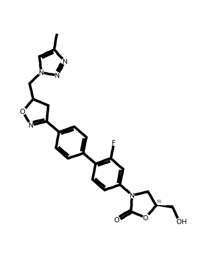 Cc1cn(CC2CC(c3ccc(-c4ccc(N5C[C@@H](CO)OC5=O)cc4F)cc3)=NO2)nn1